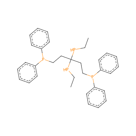 CCPC(CCP(c1ccccc1)c1ccccc1)(CCP(c1ccccc1)c1ccccc1)PCC